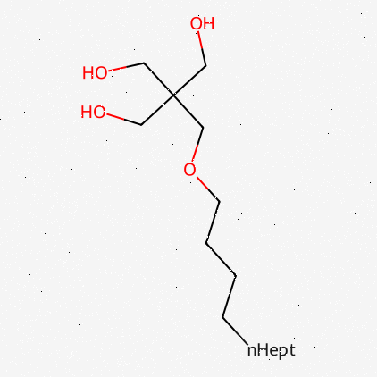 CCCCCCCCCCCOCC(CO)(CO)CO